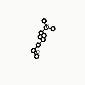 c1ccc(-c2cc(-c3ccc4ccc5c(-c6ccc(-c7cccc8c7oc7ccccc78)cc6)ccc6ccc3c4c65)cc(-c3ccccc3)n2)cc1